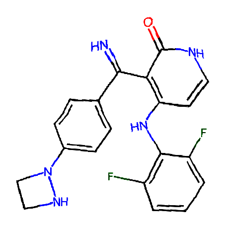 N=C(c1ccc(N2CCN2)cc1)c1c(Nc2c(F)cccc2F)cc[nH]c1=O